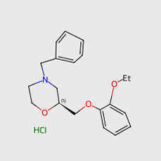 CCOc1ccccc1OC[C@@H]1CN(Cc2ccccc2)CCO1.Cl